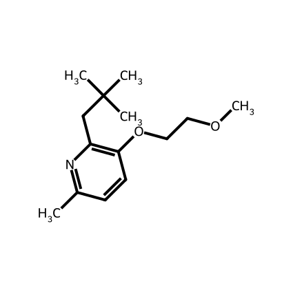 COCCOc1ccc(C)nc1CC(C)(C)C